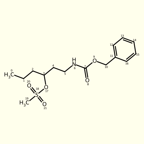 CCCC(CCNC(=O)OCc1ccccc1)OS(C)(=O)=O